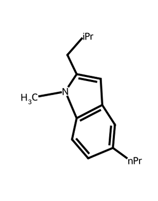 CCCc1ccc2c(c1)cc(CC(C)C)n2C